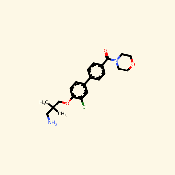 CC(C)(CN)COc1ccc(-c2ccc(C(=O)N3CCOCC3)cc2)cc1Cl